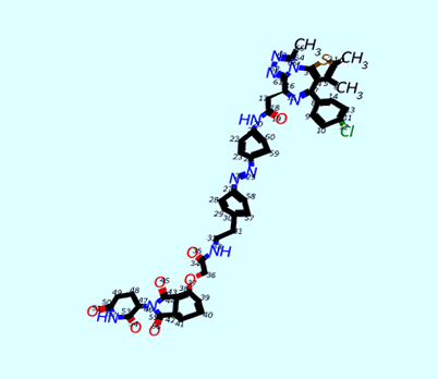 Cc1sc2c(c1C)C(c1ccc(Cl)cc1)=N[C@@H](CC(=O)Nc1ccc(/N=N/c3ccc(CCNC(=O)COc4cccc5c4C(=O)N(C4CCC(=O)NC4=O)C5=O)cc3)cc1)c1nnc(C)n1-2